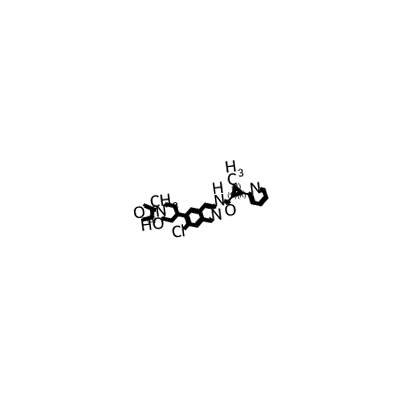 C[C@H]1[C@H](C(=O)Nc2cc3cc(C4CCN([C@@]5(C)COC[C@H]5O)CC4)c(Cl)cc3cn2)[C@@H]1c1ccccn1